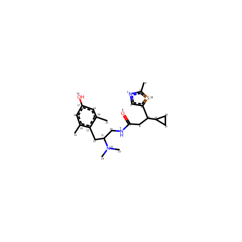 Cc1ncc(C(CC(=O)NCC(Cc2c(C)cc(O)cc2C)N(C)C)C2CC2)s1